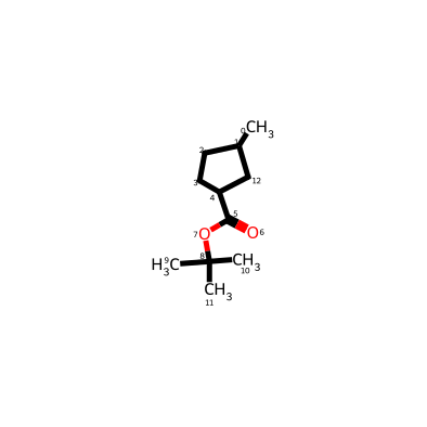 CC1CCC(C(=O)OC(C)(C)C)C1